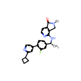 CCN1Cc2c(ccnc2N[C@@H](C)c2ccc(-c3ccnc(C4CCC4)c3)c(F)c2)C1=O